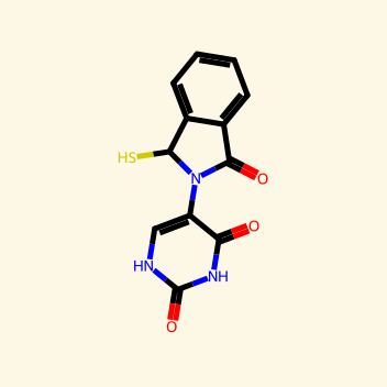 O=C1c2ccccc2C(S)N1c1c[nH]c(=O)[nH]c1=O